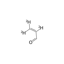 [2H]C([2H])=C([2H])C=O